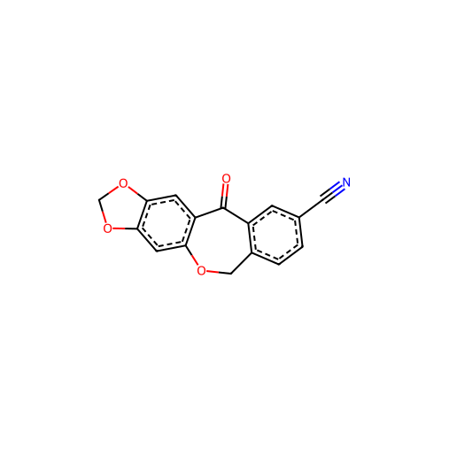 N#Cc1ccc2c(c1)C(=O)c1cc3c(cc1OC2)OCO3